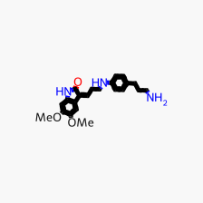 COc1cc2c(cc1OC)C(=CCCNc1ccc(CCCN)cc1)C(=O)N2